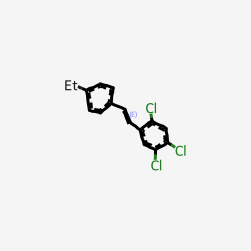 CCc1ccc(/C=C/c2cc(Cl)c(Cl)cc2Cl)cc1